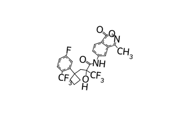 Cc1noc(=O)c2ccc(NC(=O)C(O)(CC3(c4cc(F)ccc4C(F)(F)F)CCC3)C(F)(F)F)cc12